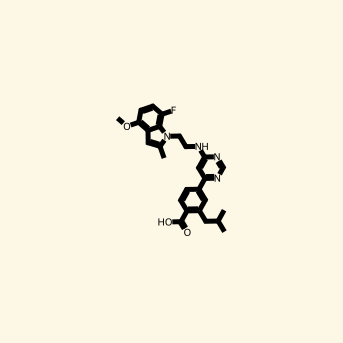 COc1ccc(F)c2c1cc(C)n2CCNc1cc(-c2ccc(C(=O)O)c(CC(C)C)c2)ncn1